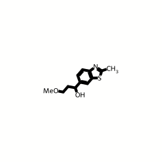 COCCC(O)c1ccc2nc(C)sc2c1